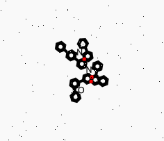 C1=CC2c3ccccc3N(c3cc(-c4ccccc4)ccc3-c3ccc(N(c4cccc(-c5cccc6c5oc5ccccc56)c4)c4ccccc4-c4cccc5ccccc45)cc3)C2C=C1